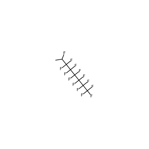 CC(F)C(F)(F)C(F)(F)C(F)(F)C(F)(F)C(F)(F)C(F)(F)F